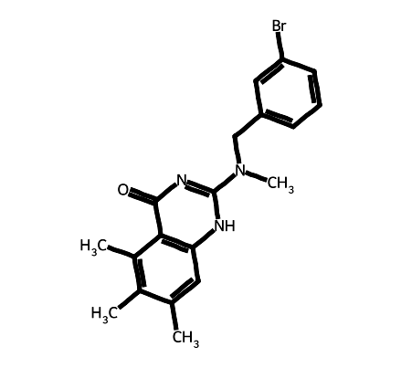 Cc1cc2[nH]c(N(C)Cc3cccc(Br)c3)nc(=O)c2c(C)c1C